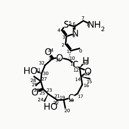 C/C(=C\c1csc(CN)n1)[C@@H]1C[C@@H]2O[C@]2(C)CCCC(C)[C@H](O)[C@@H](C)C(=O)C(C)(C)[C@@H](O)CC(=O)O1